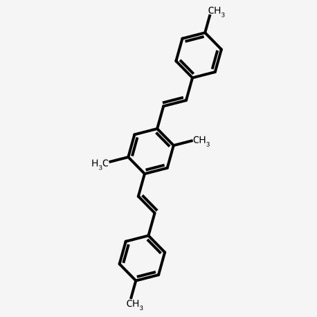 Cc1ccc(C=Cc2cc(C)c(C=Cc3ccc(C)cc3)cc2C)cc1